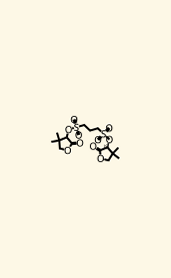 CC1(C)COC(=O)C1OS(=O)(=O)CCCS(=O)(=O)O[C@@H]1C(=O)OCC1(C)C